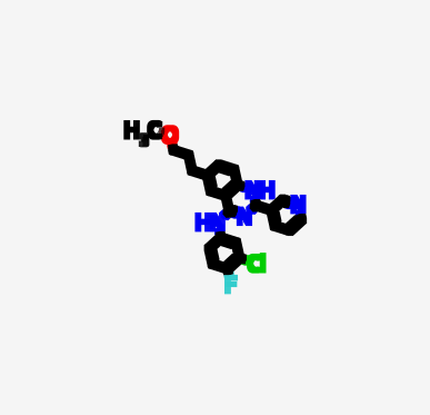 COCCCc1ccc2c(c1)C(Nc1ccc(F)c(Cl)c1)=NC(c1cccnc1)N2